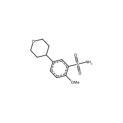 COc1ccc(C2CCOCC2)cc1S(N)(=O)=O